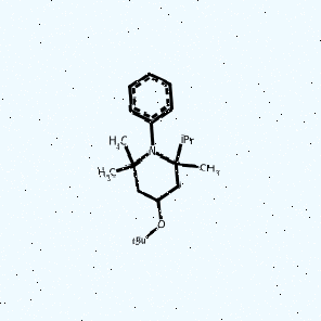 CC(C)C1(C)CC(OC(C)(C)C)CC(C)(C)N1c1ccccc1